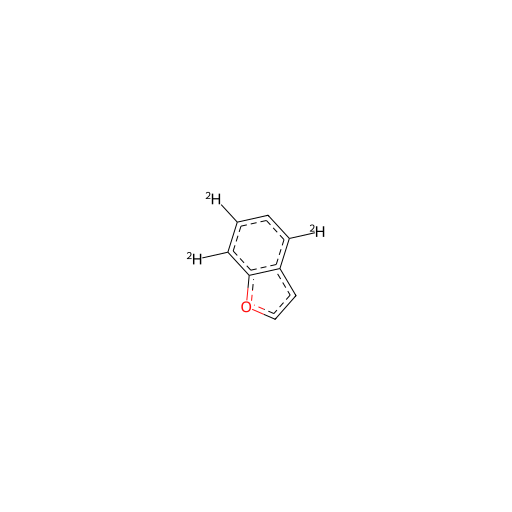 [2H]c1cc([2H])c2ccoc2c1[2H]